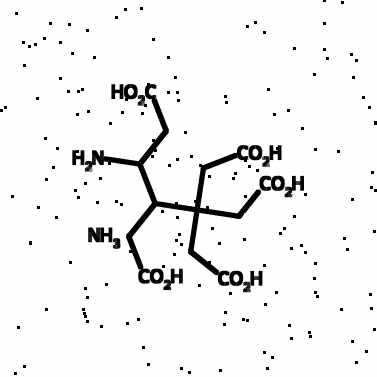 N.NC(CC(=O)O)C(CC(=O)O)C(CC(=O)O)(CC(=O)O)CC(=O)O